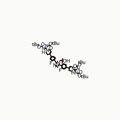 CC(C)(O)Cn1c(-c2ccc(C3=CCN(/C(=N\C(=O)OC(C)(C)C)NC(=O)OC(C)(C)C)CC3)cc2F)nnc1-c1ccc(C2=CCN(/C(=N\C(=O)OC(C)(C)C)NC(=O)OC(C)(C)C)CC2)cc1F